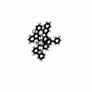 c1ccc(-c2ccc(-c3nc(-c4c(-n5c6ccccc6c6cc7ccccc7cc65)c5c6ccccc6oc5c5ccccc45)nc(-c4cccc5c6ccccc6n(-c6ccccc6)c45)n3)cc2)cc1